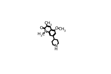 COc1cc(C2CCNCC2)cc2c1cc(C)c(=O)n2C